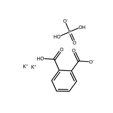 O=C([O-])c1ccccc1C(=O)O.O=P([O-])(O)O.[K+].[K+]